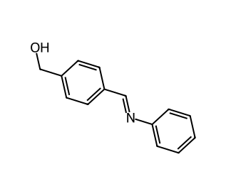 OCc1ccc(/C=N/c2ccccc2)cc1